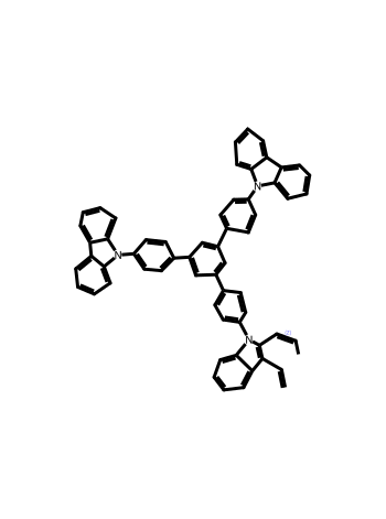 C=Cc1c(/C=C\C)n(-c2ccc(-c3cc(-c4ccc(-n5c6ccccc6c6ccccc65)cc4)cc(-c4ccc(-n5c6ccccc6c6ccccc65)cc4)c3)cc2)c2ccccc12